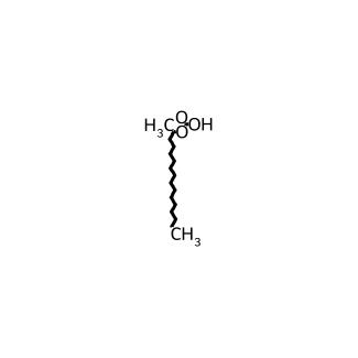 CCCCCCCCCCCCCCC(C)OC(=O)O